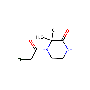 CC1(C)C(=O)NCCN1C(=O)CCl